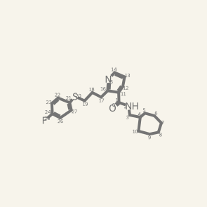 O=C(NCC1CCCCCC1)c1cccnc1CCCSc1ccc(F)cc1